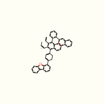 C=Cc1c(/C=C\C)c(C2=CC=C(c3cccc4c3oc3ccccc34)CC2)c2ccccc2c1-c1ccccc1-c1ccc2ccccc2c1